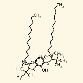 CCCCCCCCCCCC[Si](C)(C)C(Sc1cccc(SC(C(C)(C)C)[Si](C)(C)CCCCCCCCCCCC)c1O)C(C)(C)C